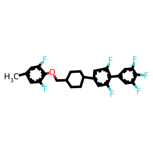 Cc1cc(F)c(OCC2CCC(c3cc(F)c(-c4cc(F)c(F)c(F)c4)c(F)c3)CC2)c(F)c1